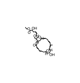 CCOC(=O)[C@H](O)C/C=C\C[C@@H]1O[C@@H]2/C=C/C/C=C/C(C)=C\[C@H]3O[C@@H](C/C=C/C=C/C(=O)O[C@H](C2)[C@@]1(C)CO)C[C@H](O)[C@H]3C